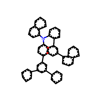 c1ccc(-c2cc(-c3ccccc3)cc(-c3ccc(N(c4ccccc4-c4cccc(-c5cccc6ccccc56)c4)c4cccc5ccccc45)cc3)c2)cc1